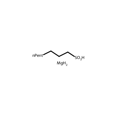 CCCCCCCCS(=O)(=O)O.[MgH2]